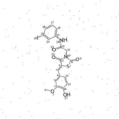 COc1cc(/C=C2\SC(=O)N(CC(=O)Nc3cccc(I)c3)C2=O)ccc1O